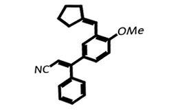 COc1ccc(C(=CC#N)c2ccccc2)cc1C=C1CCCC1